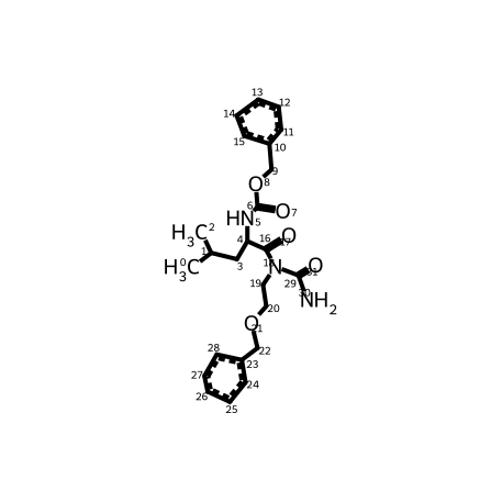 CC(C)CC(NC(=O)OCc1ccccc1)C(=O)N(CCOCc1ccccc1)C(N)=O